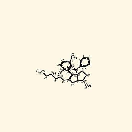 C=C(c1ccccc1)[C@@]12CC[C@@H](O)C1CC(CCCCCC)=C2c1cc(O)ccc1C